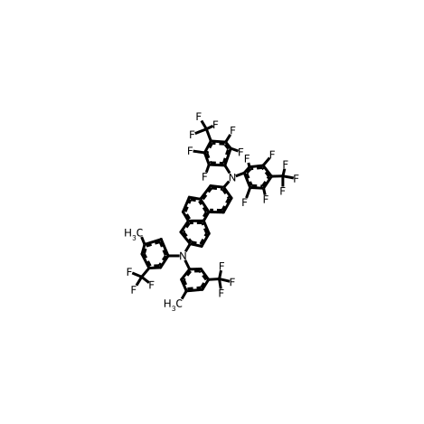 Cc1cc(N(c2cc(C)cc(C(F)(F)F)c2)c2ccc3c(ccc4cc(N(c5c(F)c(F)c(C(F)(F)F)c(F)c5F)c5c(F)c(F)c(C(F)(F)F)c(F)c5F)ccc43)c2)cc(C(F)(F)F)c1